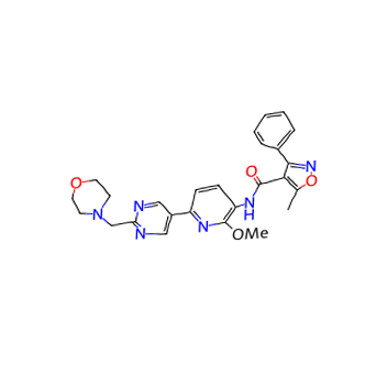 COc1nc(-c2cnc(CN3CCOCC3)nc2)ccc1NC(=O)c1c(-c2ccccc2)noc1C